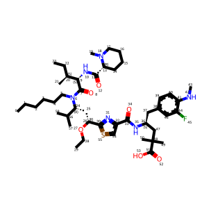 CCCCCCN(C(=O)[C@@H](NC(=O)[C@H]1CCCCN1C)[C@@H](C)CC)[C@H](C[C@@H](OCC)c1nc(C(=O)N[C@@H](Cc2ccc(NC)c(F)c2)CC(C)(C)C(=O)O)cs1)C(C)C